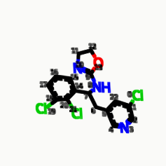 Clc1cncc(CC(NC2=NCCO2)c2cccc(Cl)c2Cl)c1